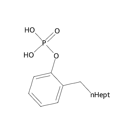 CCCCCCCCc1ccccc1OP(=O)(O)O